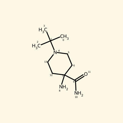 CC(C)(C)N1CCC(N)(C(N)=O)CC1